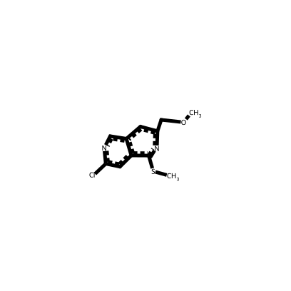 COCc1cc2cnc(Cl)cc2c(SC)n1